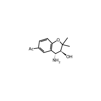 CC(=O)c1ccc2c(c1)[C@@H](N)[C@H](O)C(C)(C)O2